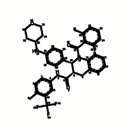 Cc1ccc(NC(=O)[C@@H]2Cc3ccccc3N(C(=O)c3c(C)cccc3F)[C@@H]2c2ccc(NC3CCOCC3)cc2)cc1C(F)(F)F